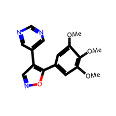 COc1cc(-c2oncc2-c2cncnc2)cc(OC)c1OC